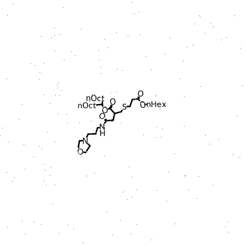 CCCCCCCCC(CCCCCCCC)OC(=O)C(CSCCC(=O)OCCCCCC)CC(=O)NCCCN1CCOCC1